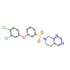 O=S(=O)(c1cccc(Oc2ccc(Cl)c(Cl)c2)c1)N1CCc2[c]ncnc2C1